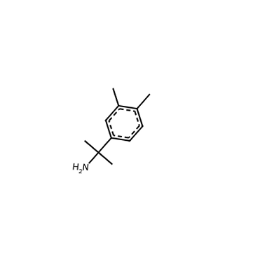 Cc1ccc(C(C)(C)N)cc1C